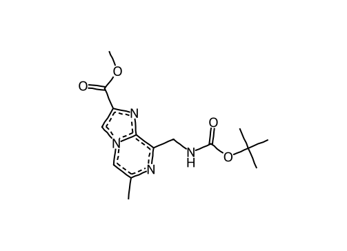 COC(=O)c1cn2cc(C)nc(CNC(=O)OC(C)(C)C)c2n1